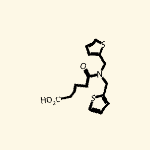 O=C(O)CCCC(=O)N(Cc1cccs1)Cc1cccs1